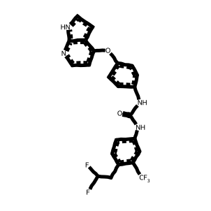 O=C(Nc1ccc(Oc2ccnc3[nH]ccc23)cc1)Nc1ccc(CC(F)F)c(C(F)(F)F)c1